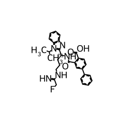 CC(C)n1c([C@H](CCCNC(=N)CF)NC(=O)c2cc(-c3ccccc3)ccc2C(=O)O)nc2ccccc21